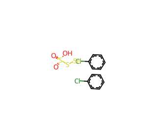 Clc1ccccc1.Clc1ccccc1.O=S(=O)(O)SS